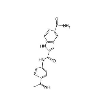 CC(=N)c1ccc(NC(=O)c2cc3cc(C(N)=O)ccc3[nH]2)cc1